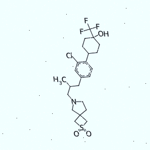 CC(Cc1ccc(C2CCC(O)(C(F)(F)F)CC2)c(Cl)c1)CN1CCC2(C1)CS(=O)(=O)C2